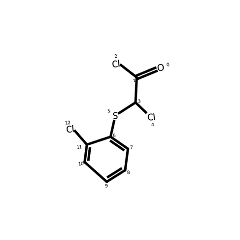 O=C(Cl)C(Cl)Sc1ccccc1Cl